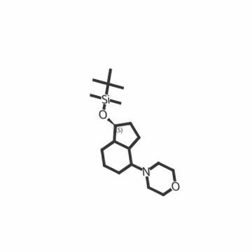 CC(C)(C)[Si](C)(C)O[C@H]1CCC2C1CCCC2N1CCOCC1